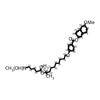 COc1ccc2cc(OC(=O)c3ccc(OCCCCCCCCC(C)(C)OC(=O)CCCCN(C)O)cc3)ccc2c1